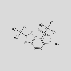 CC(C)(C)c1nc2ccc(C#N)c(S(=O)(=O)C(C)(C)F)c2o1